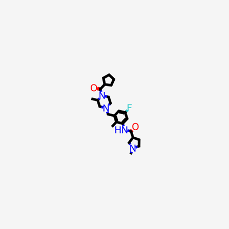 Cc1c(CN2CCN(C(=O)C3CCCC3)C(C)C2)cc(F)cc1NC(=O)C1CCN(C)C1